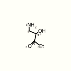 CCC(=O)C(O)CN